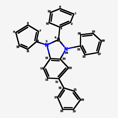 c1ccc(B2N(c3ccccc3)c3ccc(-c4ccccc4)cc3N2c2ccccc2)cc1